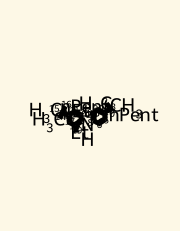 CCCCCC(C)(C)c1ccc(Nc2ccc(C(C)(C)CCCCC)cc2CC)c(CC)c1